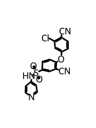 N#Cc1ccc(Oc2ccc(S(=O)(=O)Nc3ccncc3)cc2C#N)cc1Cl